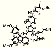 COc1ccc(C(OCC2OC(n3ccc(NC(=O)CC(C)CC(C)(C)C)nc3=O)CC2OP(OCCC#N)N(C(C)C)C(C)C)(c2ccccc2)c2ccc(OC)cc2)cc1